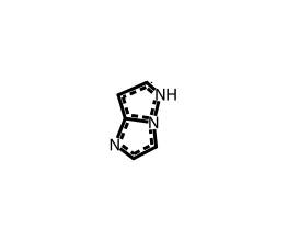 [c]1cc2nccn2[nH]1